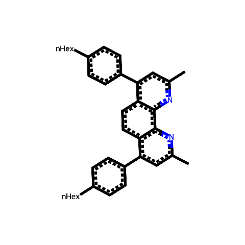 CCCCCCc1ccc(-c2cc(C)nc3c2ccc2c(-c4ccc(CCCCCC)cc4)cc(C)nc23)cc1